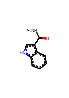 CC(=O)NC(=O)c1c[nH]c2ccccc12